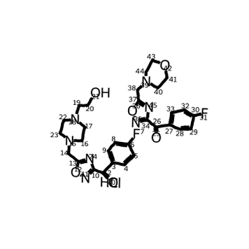 Cl.O=C(c1ccc(F)cc1)c1noc(CN2CCN(CCO)CC2)n1.O=C(c1ccc(F)cc1)c1noc(CN2CCOCC2)n1